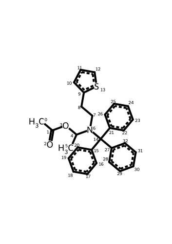 CC(=O)OC(C)N(CCc1cccs1)C(c1ccccc1)(c1ccccc1)c1ccccc1